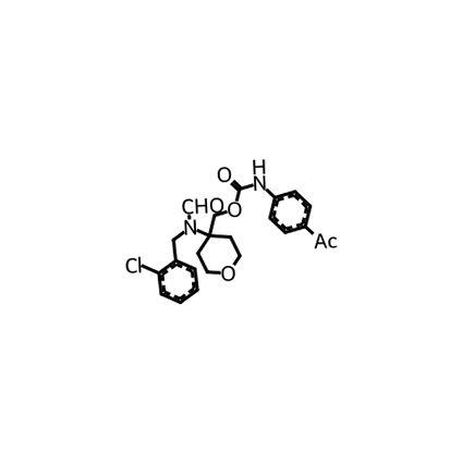 CC(=O)c1ccc(NC(=O)OCC2(N(C=O)Cc3ccccc3Cl)CCOCC2)cc1